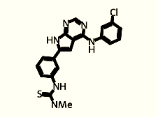 CNC(=S)Nc1cccc(-c2cc3c(Nc4cccc(Cl)c4)ncnc3[nH]2)c1